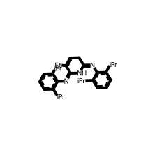 CCC1=CCC(=Nc2c(C(C)C)cccc2C(C)C)NC1=Nc1c(C(C)C)cccc1C(C)C